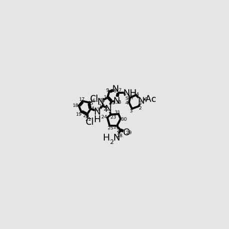 CC(=O)N1CCC[C@@H](Nc2ncc3nc(Nc4c(Cl)cccc4Cl)n(C4CCC(C(N)=O)CC4)c3n2)C1